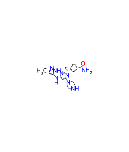 Cc1cc(Nc2cc(N3CCNCC3)nc(Sc3ccc(C(N)=O)cc3)n2)[nH]n1